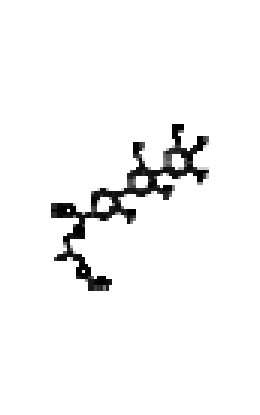 CCCOCC(C)COC(O)c1ccc(-c2cc(F)c(-c3cc(F)c(F)c(F)c3)c(F)c2)c(F)c1